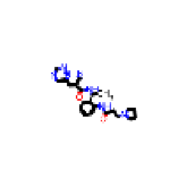 CC(NC(=O)/C(C#N)=C/c1cncnn1)[C@@H]1CC=CC=C1NC(=O)CCN1CCCC1